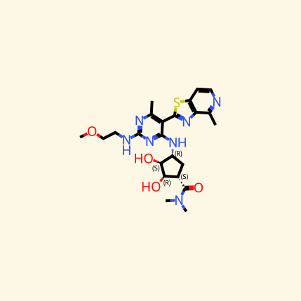 COCCNc1nc(C)c(-c2nc3c(C)nccc3s2)c(N[C@@H]2C[C@H](C(=O)N(C)C)[C@@H](O)[C@H]2O)n1